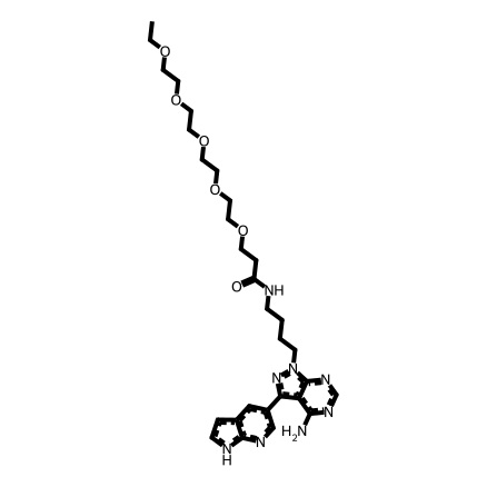 CCOCCOCCOCCOCCOCCC(=O)NCCCCn1nc(-c2cnc3[nH]ccc3c2)c2c(N)ncnc21